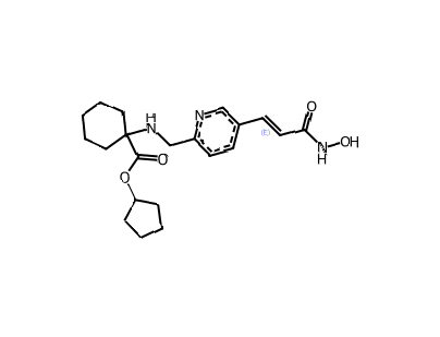 O=C(/C=C/c1ccc(CNC2(C(=O)OC3CCCC3)CCCCC2)nc1)NO